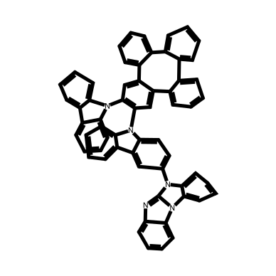 c1ccc2c(c1)-c1ccccc1-c1cc(-n3c4ccccc4c4ccccc43)c(-n3c4ccccc4c4cc(-n5c6ccccc6n6c7ccccc7nc56)ccc43)cc1-c1ccccc1-2